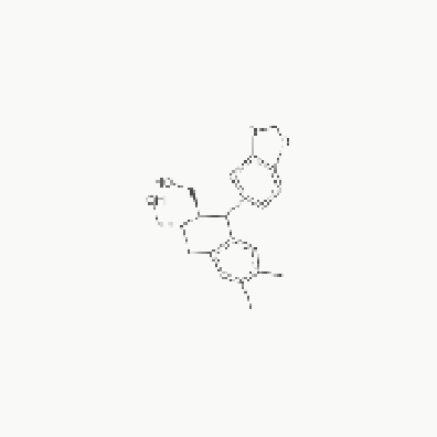 Cc1cc2c(cc1C)C(c1ccc3c(c1)OCO3)[C@H](CO)[C@@H](CO)C2